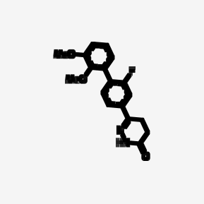 COc1cccc(-c2ccc(C3=NNC(=O)CC3)cc2F)c1OC